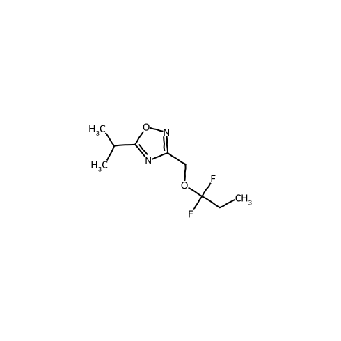 CCC(F)(F)OCc1noc(C(C)C)n1